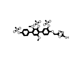 COc1cc(-c2ccc(OS(C)(=O)=O)cc2)c(OC)c(OS(C)(=O)=O)c1-c1ccc(OCc2nnc(S)o2)c(OS(C)(=O)=O)c1